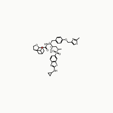 Cc1nc(COc2ccc(C[C@H](NC(=O)OC3C4COC5OCC3C5C4)[C@H](O)CN(C)S(=O)(=O)c3ccc4nc(NC5CC5)sc4c3)cc2)cs1